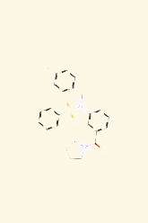 O=C(c1cccc(N(Cc2ccc(Cl)cc2)S(=O)(=O)c2ccccc2)c1)N1CCCC1